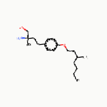 CCCC(N)(CO)CCc1ccc(OCCC(C)CCCC(C)C)cc1